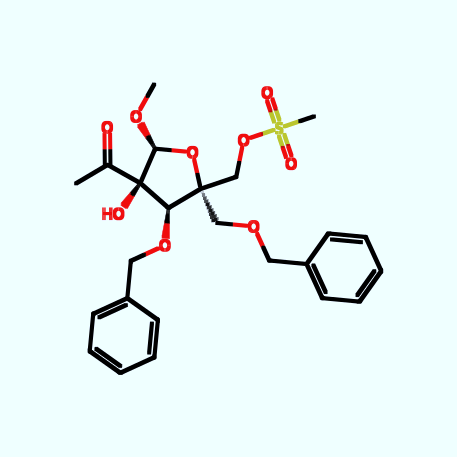 CO[C@H]1O[C@@](COCc2ccccc2)(COS(C)(=O)=O)[C@@H](OCc2ccccc2)[C@]1(O)C(C)=O